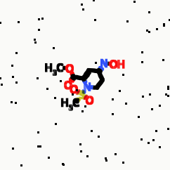 COC(=O)C1=CC(=NO)CCN1S(C)(=O)=O